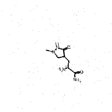 CN1CC(C[C@H](N)C(N)=O)C(=O)N1